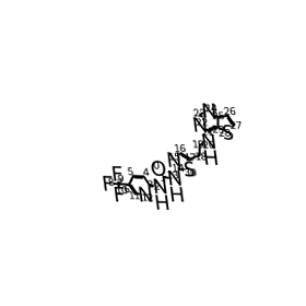 O=C(Nc1ccc(C(F)(F)F)cn1)Nc1ncc(CCNc2ncnc3ccsc23)s1